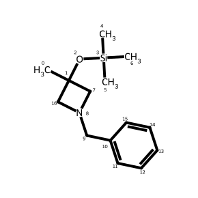 CC1(O[Si](C)(C)C)CN(Cc2ccccc2)C1